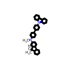 CN(c1ccc(-c2ccc(-n3c4ccccc4c4ccccc43)cc2)cc1)c1ccc2c(c1)C(C)(C)c1ccccc1-2